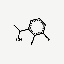 CC(O)c1cc[c]c(F)c1F